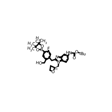 CC(C)(C)OC(=O)Nc1ccc2c(c1)nc(Cc1cc(F)c(B3OC(C)(C)C(C)(C)O3)cc1CO)n2C[C@@H]1CCO1